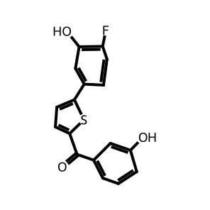 O=C(c1cccc(O)c1)c1ccc(-c2ccc(F)c(O)c2)s1